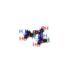 Cc1ccc(Oc2cnc(N)nc2N2CCC(O)CC2)cc1.Nc1ncc(Oc2ccc(Cl)cc2)c(N2CCC(O)CC2)n1.Nc1ncc(Oc2ccc(Cl)cc2Cl)c(N2CCC(O)CC2)n1